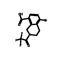 O=C(O)c1ccc(Br)c2c1CN(C(=O)C(F)(F)F)CC2